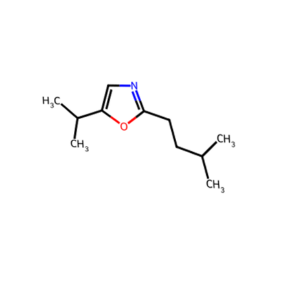 CC(C)CCc1ncc(C(C)C)o1